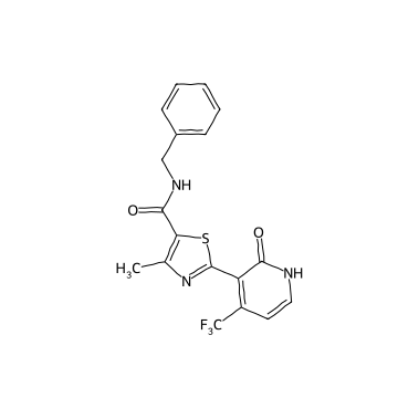 Cc1nc(-c2c(C(F)(F)F)cc[nH]c2=O)sc1C(=O)NCc1ccccc1